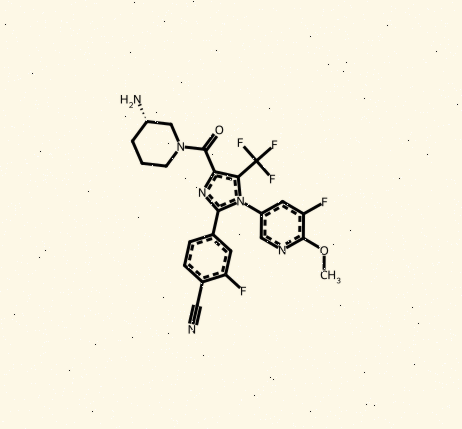 COc1ncc(-n2c(-c3ccc(C#N)c(F)c3)nc(C(=O)N3CCC[C@H](N)C3)c2C(F)(F)F)cc1F